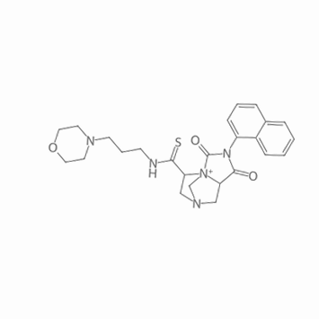 O=C1C2CN3CC(C(=S)NCCCN4CCOCC4)[N+]2(C3)C(=O)N1c1cccc2ccccc12